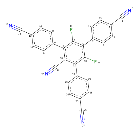 N#Cc1ccc(-c2c(F)c(-c3ccc(C#N)cc3)c(C#N)c(-c3ccc(C#N)cc3)c2F)cc1